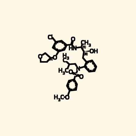 COc1ccc(S(=O)(=O)N(CC(C)C)c2ccccc2C[C@@H](O)[C@H](C)NC(=O)c2cc(Cl)cc(O[C@H]3CCOC3)c2)cc1